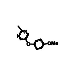 COc1ccc(Oc2cnc(C)nc2)cc1